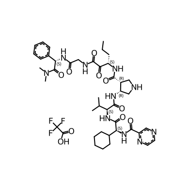 CCC[C@H](NC(=O)[C@@H]1CNC[C@@H]1NC(=O)[C@@H](NC(=O)[C@@H](NC(=O)c1cnccn1)C1CCCCC1)C(C)C)C(=O)C(=O)NCC(=O)N[C@H](C(=O)N(C)C)c1ccccc1.O=C(O)C(F)(F)F